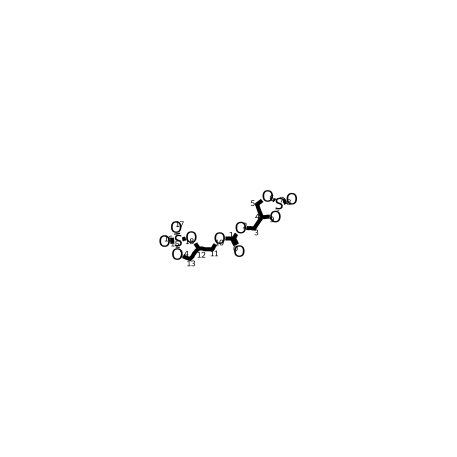 O=C(OCC1COS(=O)O1)OCC1COS(=O)(=O)O1